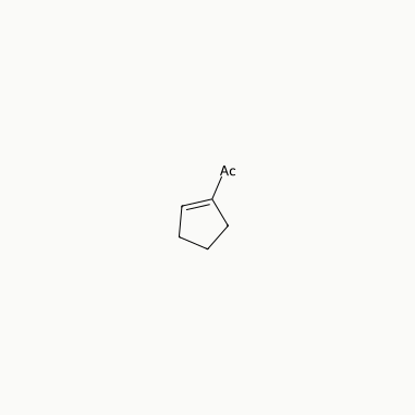 CC(=O)C1=CCCC1